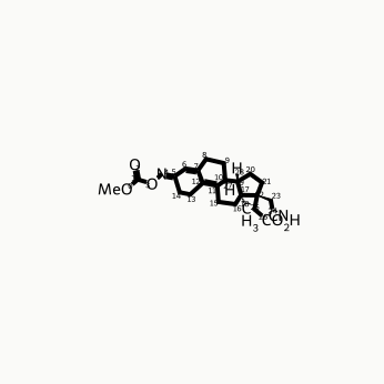 COC(=O)O/N=C1/C=C2CC[C@@H]3C(=C2CC1)CC[C@@]1(C)[C@H]3CC[C@]1(CC#N)CC(=O)O